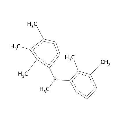 Cc1cccc(P(C)c2ccc(C)c(C)c2C)c1C